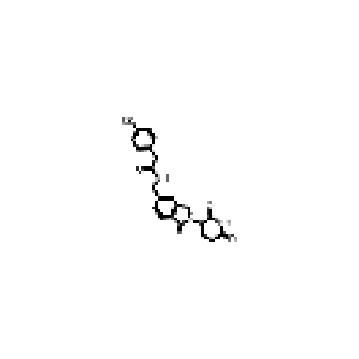 O=C(Cc1ccc(Br)cc1)NCc1ccc2c(c1)CN(C1CCC(=O)NC1=O)C2=O